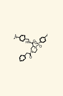 CN(C)c1ccc(CNC(=O)C2CN(C(=O)Cc3ccccc3)CCN2S(=O)(=O)c2ccc(I)cc2)cc1